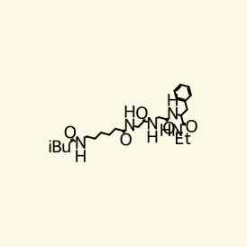 CCNC(=O)C(Cc1ccccc1)NC(=O)CNC(=O)CNC(=O)CCCCCNC(=O)C(C)CC